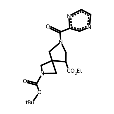 CCOC(=O)C1CN(C(=O)c2cnccn2)CC12CN(C(=O)OC(C)(C)C)C2